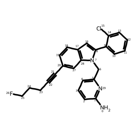 Nc1cccc(Cn2c(-c3ccccc3Cl)cc3ccc(C#CCCCF)cc32)n1